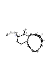 CC(C)/N=C1\CCc2ccccccccc2N1C(C)C